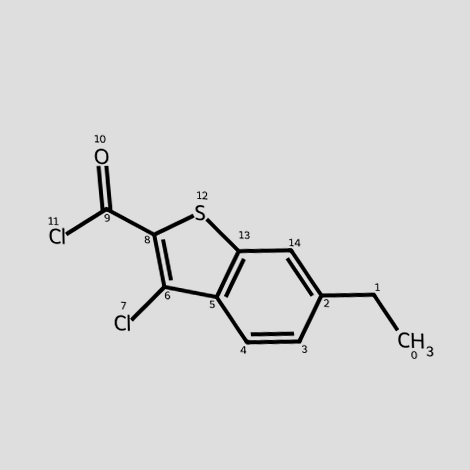 CCc1ccc2c(Cl)c(C(=O)Cl)sc2c1